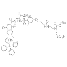 COC(=O)[C@H](CNC(=O)C1CC(=O)c2ccc(CNc3nccn3C(c3ccccc3)(c3ccccc3)c3ccccc3)cc2N1C)NS(=O)(=O)c1c(C)cc(OCCCC(=O)NCCN(C(=O)OC(C)(C)C)[C@H](C)CS(=O)(=O)O)cc1C